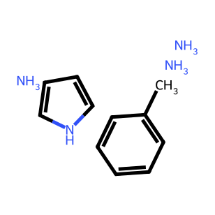 Cc1ccccc1.N.N.N.c1cc[nH]c1